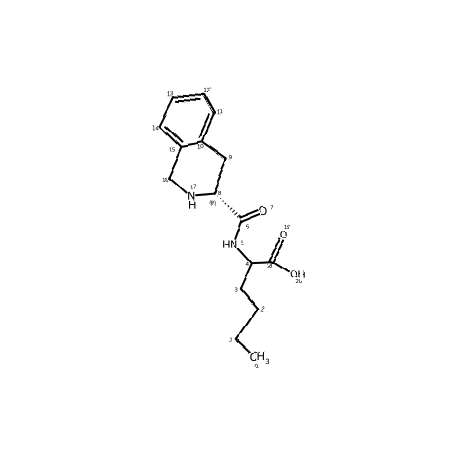 CCCCC(NC(=O)[C@H]1Cc2ccccc2CN1)C(=O)O